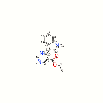 CCOC(=O)c1cncnc1-c1cn(C)c2ccccc12